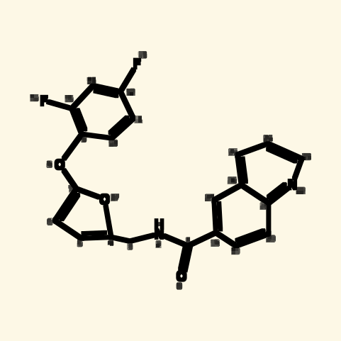 O=C(NCc1ccc(Oc2ccc(F)cc2F)o1)c1ccc2ncccc2c1